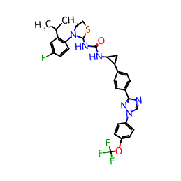 CC(C)c1cc(F)ccc1N1CCSC1NC(=O)NC1CC1c1ccc(-c2ncn(-c3ccc(OC(F)(F)F)cc3)n2)cc1